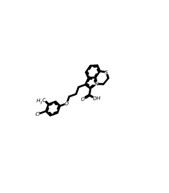 Cc1cc(OCCCc2c(C(=O)O)n3c4c(cccc24)SCC3)ccc1Cl